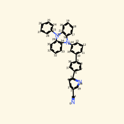 N#Cc1ccc(-c2ccc(-c3cccc(N4c5ccccc5N(c5ccccc5)c5ccccc54)c3)cc2)nc1